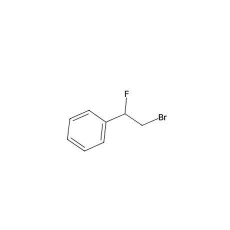 FC(CBr)c1ccccc1